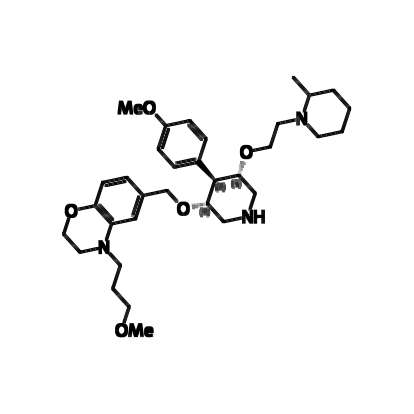 COCCCN1CCOc2ccc(CO[C@H]3CNC[C@@H](OCCN4CCCCC4C)[C@@H]3c3ccc(OC)cc3)cc21